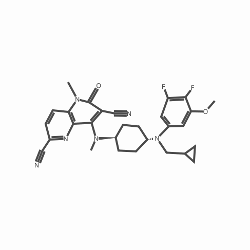 COc1cc(N(CC2CC2)[C@H]2CC[C@H](N(C)c3c(C#N)c(=O)n(C)c4ccc(C#N)nc34)CC2)cc(F)c1F